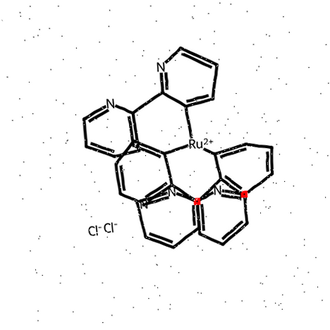 [Cl-].[Cl-].c1ccc(-c2nccc[c]2[Ru+2]([c]2cccnc2-c2ccccn2)[c]2cccnc2-c2ccccn2)nc1